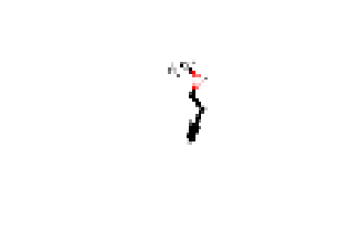 C#CCCO[SiH3]